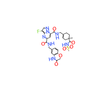 CC1(C(=O)NS(C)(=O)=O)CC=C(CNC(=O)c2cc(C(=O)NCc3ccc4c(c3)NC(=O)CO4)nc3c(F)cnn23)CC1